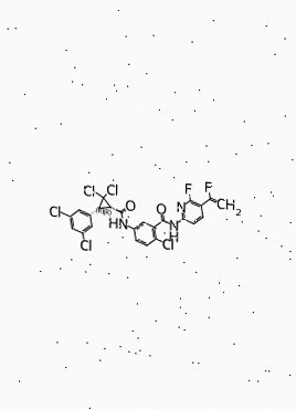 C=C(F)c1ccc(NC(=O)c2cc(NC(=O)[C@H]3[C@H](c4cc(Cl)cc(Cl)c4)C3(Cl)Cl)ccc2Cl)nc1F